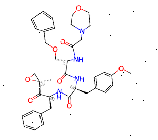 COc1ccc(C[C@H](NC(=O)[C@H](COCc2ccccc2)NC(=O)CN2CCOCC2)C(=O)N[C@@H](Cc2ccccc2)C(=O)[C@]2(C)CO2)cc1